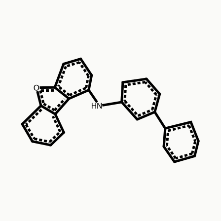 c1ccc(-c2cccc(Nc3cccc4oc5ccccc5c34)c2)cc1